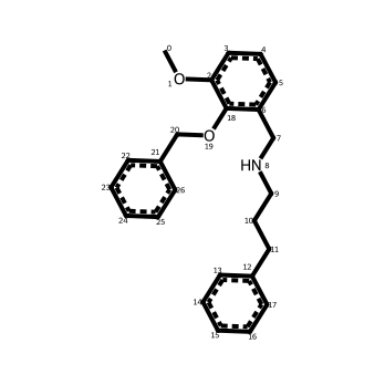 COc1cccc(CNCCCc2ccccc2)c1OCc1ccccc1